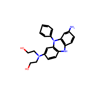 Nc1ccc2c(c1)N(c1ccccc1)c1cc(N(CCO)CCO)ccc1N2